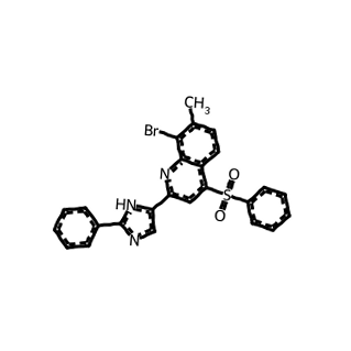 Cc1ccc2c(S(=O)(=O)c3ccccc3)cc(-c3cnc(-c4ccccc4)[nH]3)nc2c1Br